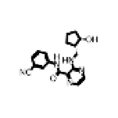 N#Cc1cccc(NC(=O)c2nccnc2NC[C@@H]2CCC[C@H]2O)c1